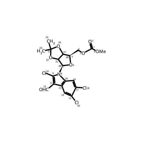 COC(=O)OC[C@H]1O[C@@H](n2c(Cl)c(C=O)c3cc(Cl)c(Cl)cc32)C2OC(C)(C)OC21